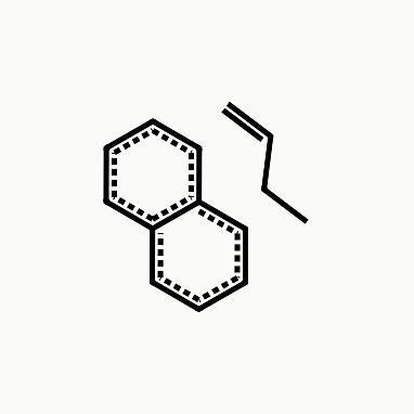 C=CCC.c1ccc2ccccc2c1